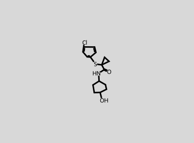 O=C(NC1CCC(O)CC1)C1(Sc2ccc(Cl)cc2)CC1